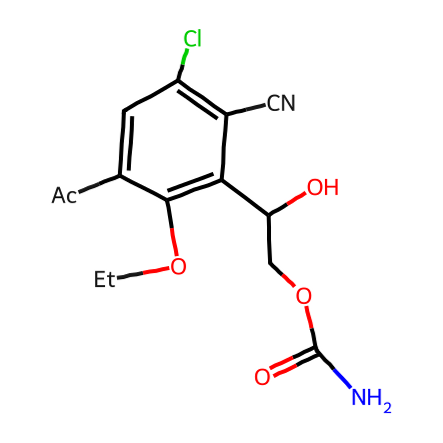 CCOc1c(C(C)=O)cc(Cl)c(C#N)c1C(O)COC(N)=O